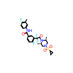 Cc1cc(NC(=O)c2ccc(F)c(C(F)(F)C(=O)N3[C@H](C)CN(S(=O)(=O)C4CC4)C[C@@H]3C)c2)ccc1F